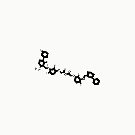 Cc1ccc(-c2cccc(F)c2)c(F)c1CNc1c(F)ccc(OCC(=O)OC(=O)COc2ccc(F)c(NCc3cc(-c4ccccc4)ccc3F)c2F)c1F